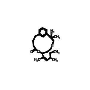 CC[C@@H](C)/C=C(/C)[C@@H]1CCCCC(C)(C)c2cccc(c2)CCCC(=O)O1